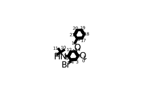 COc1cc(Br)c(NC(C)(C)C)cc1OCc1ccccc1